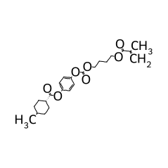 C=C(C)C(=O)OCCCCOC(=O)Oc1ccc(OC(=O)[C@H]2CC[C@H](C)CC2)cc1